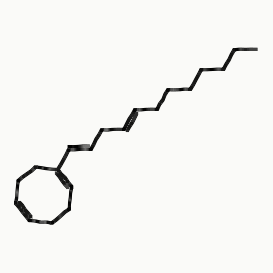 CCCCCCCC=CCC=CC1=CCCC=CCC1